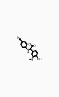 CSc1cc(C(Nc2ccc(C#N)cc2)C(=O)O)ccc1O